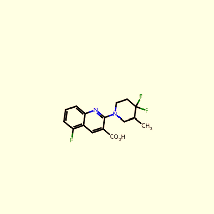 CC1CN(c2nc3cccc(F)c3cc2C(=O)O)CCC1(F)F